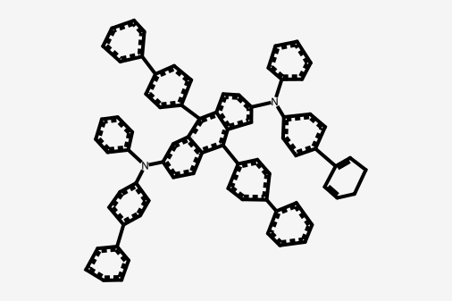 C1=CC(c2ccc(N(c3ccccc3)c3ccc4c(-c5ccc(-c6ccccc6)cc5)c5cc(N(c6ccccc6)c6ccc(-c7ccccc7)cc6)ccc5c(-c5ccc(-c6ccccc6)cc5)c4c3)cc2)=CCC1